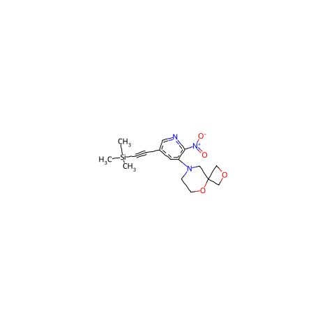 C[Si](C)(C)C#Cc1cnc([N+](=O)[O-])c(N2CCOC3(COC3)C2)c1